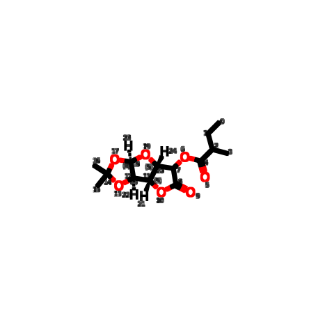 CCC(C)C(=O)OC1C(=O)O[C@@H]2[C@H]3OC(C)(C)O[C@H]3O[C@H]12